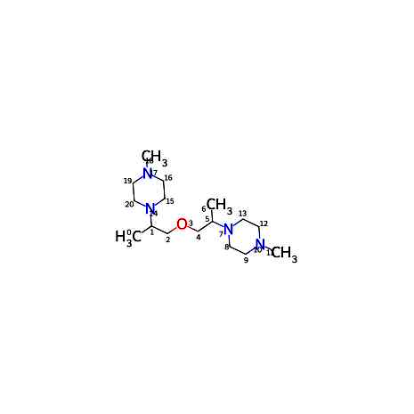 CC(COCC(C)N1CCN(C)CC1)N1CCN(C)CC1